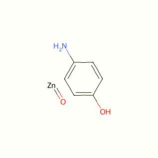 Nc1ccc(O)cc1.[O]=[Zn]